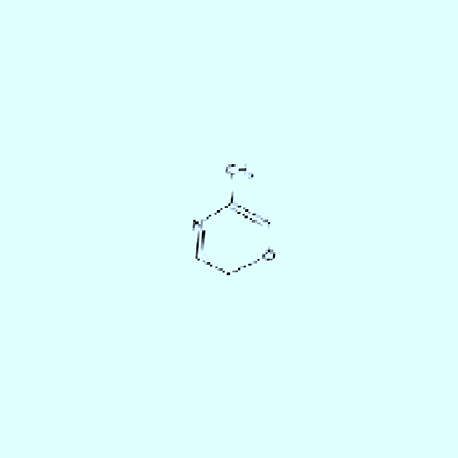 CC1=COCC=N1